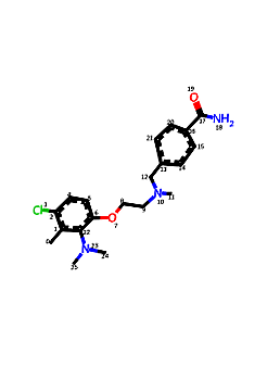 Cc1c(Cl)ccc(OCCN(C)Cc2ccc(C(N)=O)cc2)c1N(C)C